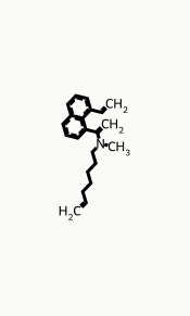 C=CCCCCCN(C)C(=C)c1cccc2cccc(C=C)c12